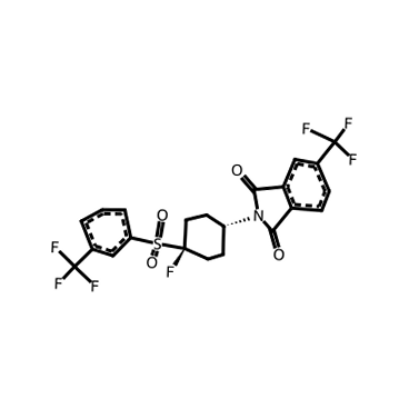 O=C1c2ccc(C(F)(F)F)cc2C(=O)N1[C@H]1CC[C@@](F)(S(=O)(=O)c2cccc(C(F)(F)F)c2)CC1